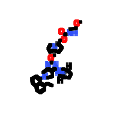 CCc1cccc2cccc(N3CCc4c(nc(OC[C@]56CCCN5[C@@H](COC(=O)NCCOC)CC6)nc4N4C[C@H]5CC[C@@H](C4)N5)C3)c12